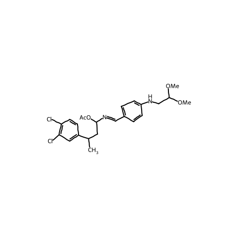 COC(CNc1ccc(C=NC(CC(C)c2ccc(Cl)c(Cl)c2)OC(C)=O)cc1)OC